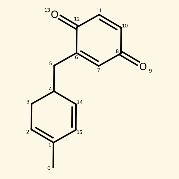 CC1=CCC(CC2=CC(=O)C=CC2=O)C=C1